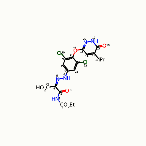 CCOC(=O)NC(=O)C(=NNc1cc(Cl)c(Oc2cc(C(C)C)c(=O)[nH]n2)c(Cl)c1)C(=O)O